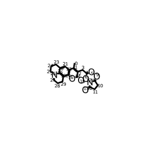 Cc1c(CC(=O)ON2C(=O)CCC2=O)c(=O)oc2c3c4c(cc12)CCCN4CCC3